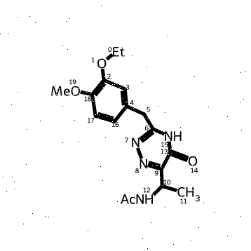 CCOc1cc(Cc2nnc(C(C)NC(C)=O)c(=O)[nH]2)ccc1OC